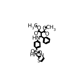 COC(=O)C(C(=O)OC)C(Nc1ccc(S(=O)(=O)Nc2nccs2)cc1)c1ccccc1